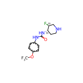 O=C(Nc1ccc(OC(F)(F)F)cc1)N[C@H]1CCNC[C@@H]1F